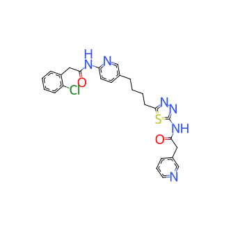 O=C(Cc1ccccc1Cl)Nc1ccc(CCCCc2nnc(NC(=O)Cc3cccnc3)s2)cn1